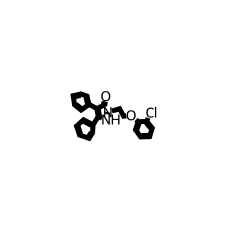 O=c1c(-c2ccccc2)c(-c2ccccc2)[nH]n1CCOc1ccccc1Cl